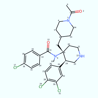 CC(=O)N1CCC(C[C@@]2(N(C)C(=O)c3ccc(Cl)cc3)CCNC[C@H]2c2ccc(Cl)c(Cl)c2)CC1